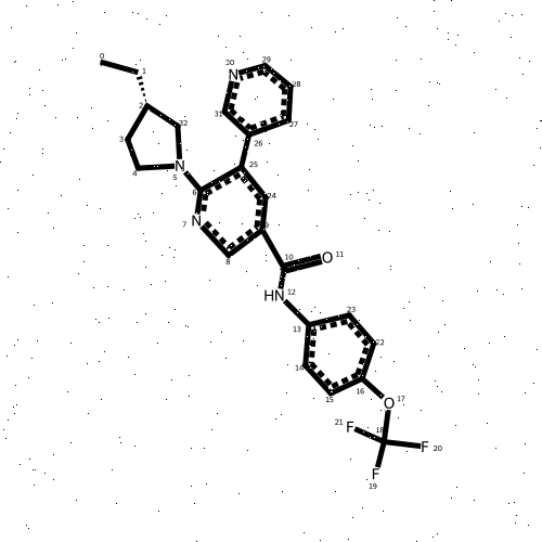 CC[C@H]1CCN(c2ncc(C(=O)Nc3ccc(OC(F)(F)F)cc3)cc2-c2cccnc2)C1